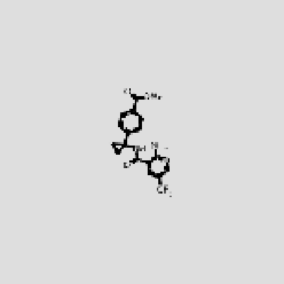 COC(=O)c1ccc(C2(NC(=O)c3cc(C(F)(F)F)cnc3N)CC2)cc1